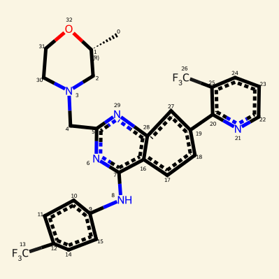 C[C@@H]1CN(Cc2nc(Nc3ccc(C(F)(F)F)cc3)c3ccc(-c4ncccc4C(F)(F)F)cc3n2)CCO1